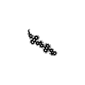 CCCOc1ccc(-c2c3ccccc3c(-c3ccc4c(c3)C(C)(C)c3cc(-c5c6ccccc6c(-c6ccc7c(c6)C(C)(C)c6ccccc6-7)c6ccccc56)ccc3-4)c3ccccc23)cc1